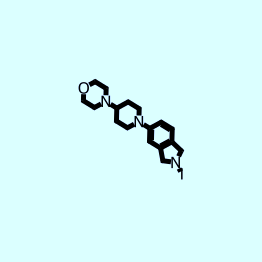 IN1Cc2ccc(N3CCC(N4CCOCC4)CC3)cc2C1